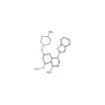 COc1cc(OC2CCC(N)CC2)cc2c(-c3cc4ccccc4o3)cnc(N)c12